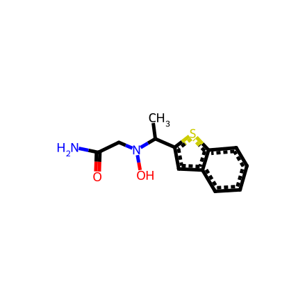 CC(c1cc2ccccc2s1)N(O)CC(N)=O